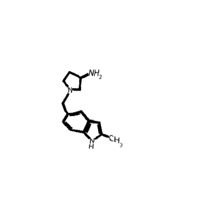 Cc1cc2cc(CN3CCC(N)C3)ccc2[nH]1